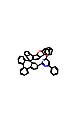 c1ccc(-c2cc(-c3ccccc3)nc(-c3ccc4c(c3)C3(c5ccccc5-c5ccccc5-4)c4ccccc4-c4c3ccc3c4oc4ccccc43)n2)cc1